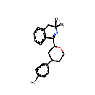 CC1(C)Cc2ccccc2C(C2CC(c3ccc(C=O)cc3)CCO2)=N1